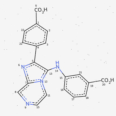 O=C(O)c1ccc(-c2nc3cnccn3c2Nc2cccc(C(=O)O)c2)cc1